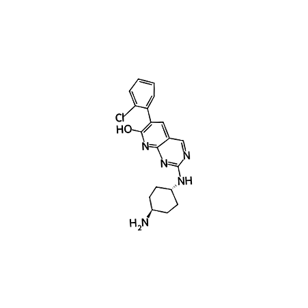 N[C@H]1CC[C@H](Nc2ncc3cc(-c4ccccc4Cl)c(O)nc3n2)CC1